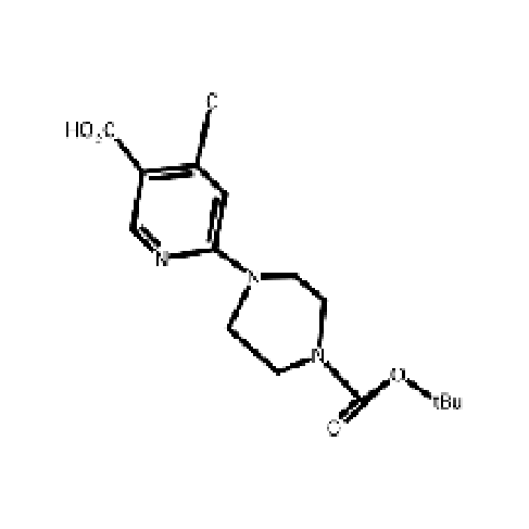 CC(C)(C)OC(=O)N1CCN(c2cc(Cl)c(C(=O)O)cn2)CC1